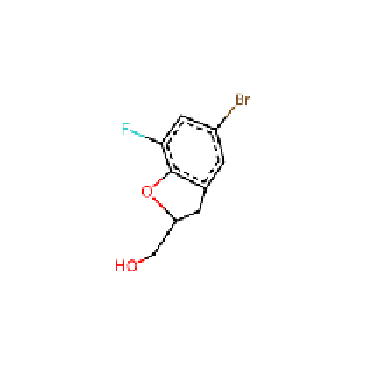 OCC1Cc2cc(Br)cc(F)c2O1